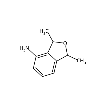 CC1OC(C)c2c(N)cccc21